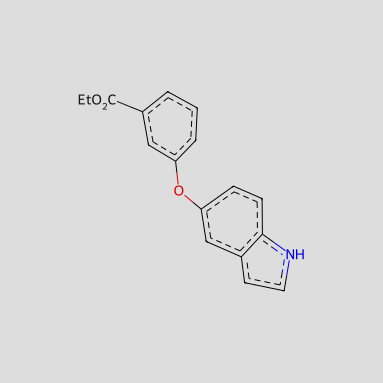 CCOC(=O)c1cccc(Oc2ccc3[nH]ccc3c2)c1